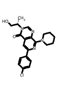 C[C@@H](CO)n1cnc2c(N3CCCCC3)nc(-c3ccc(Cl)cc3)cc2c1=O